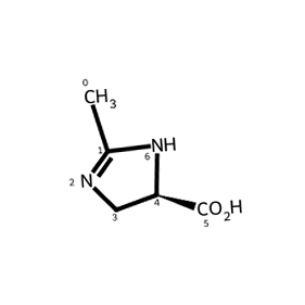 CC1=NC[C@H](C(=O)O)N1